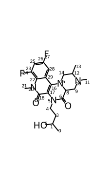 CC(O)CCN1C(=O)C2CN(C)C(C)CN2c2c1c(=O)n(C)c1c(F)cc(F)cc21